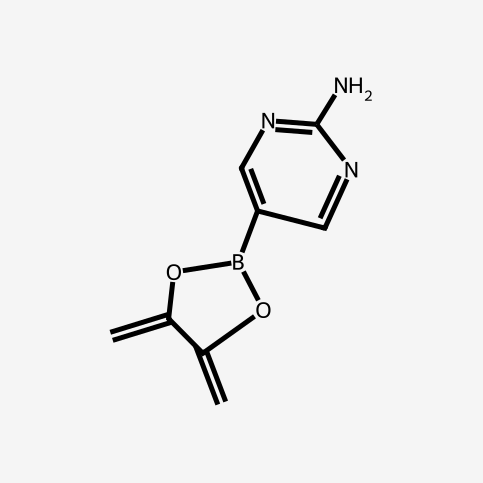 C=C1OB(c2cnc(N)nc2)OC1=C